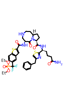 CCOP(=O)(OCC)C(F)(F)c1ccc2sc(C(=O)N[C@H]3CNCC[C@H]4CC[C@@H](C(=O)N[C@@H](CCCC(N)=O)c5nc(Cc6ccccc6)cs5)N4C3=O)cc2c1